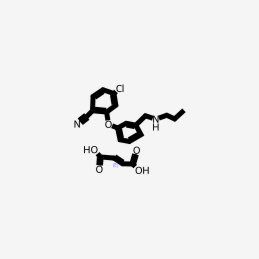 CCCNCc1cccc(Oc2cc(Cl)ccc2C#N)c1.O=C(O)/C=C/C(=O)O